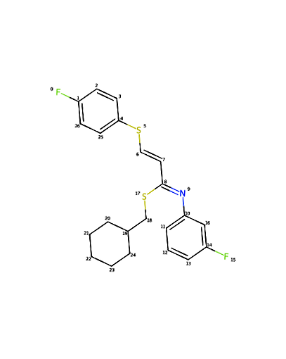 Fc1ccc(SC=CC(=Nc2cccc(F)c2)SCC2CCCCC2)cc1